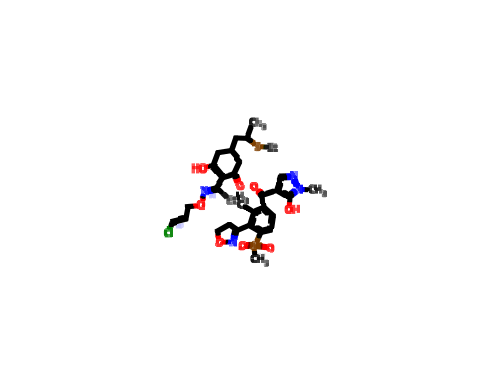 CCSC(C)CC1CC(=O)C(/C(CC)=N/OC/C=C/Cl)=C(O)C1.Cc1c(C(=O)c2cnn(C)c2O)ccc(S(C)(=O)=O)c1C1=NOCC1